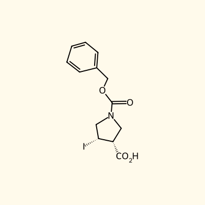 O=C(O)[C@H]1CN(C(=O)OCc2ccccc2)C[C@H]1I